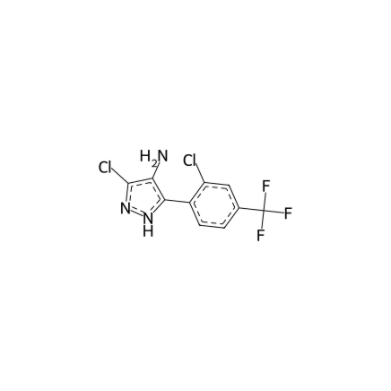 Nc1c(Cl)n[nH]c1-c1ccc(C(F)(F)F)cc1Cl